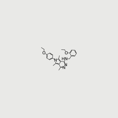 CCOc1ccc(-n2c(C)c3c(C)nnc(NCc4ccccc4OCC)c3c2C)cc1